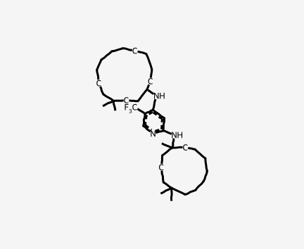 CC1(C)CCCCCCCC(C)(Nc2cc(NC3CCCCCCCCCCC(C)(C)CC3)c(C(F)(F)F)cn2)CCC1